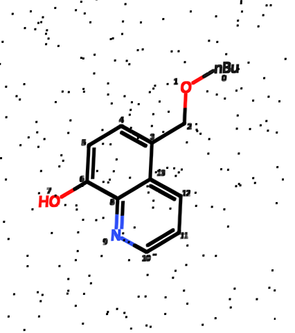 CCCCOCc1ccc(O)c2ncccc12